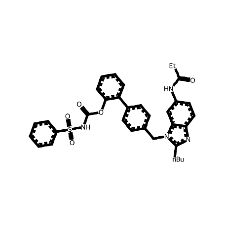 CCCCc1nc2ccc(NC(=O)CC)cc2n1Cc1ccc(-c2ccccc2OC(=O)NS(=O)(=O)c2ccccc2)cc1